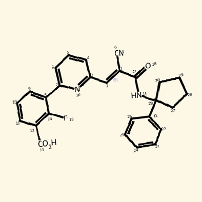 N#C/C(=C\c1cccc(-c2cccc(C(=O)O)c2F)n1)C(=O)NC1(c2ccccc2)CCCC1